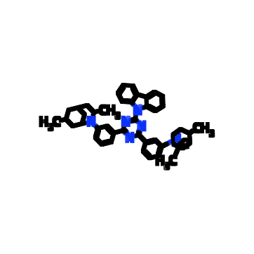 CC1CC2CC(C)N(c3cccc(-c4nc(-c5cccc(N6C(C)CC7CCC6CC7C)c5)nc(-n5c6ccccc6c6ccccc65)n4)c3)C(C1)C2